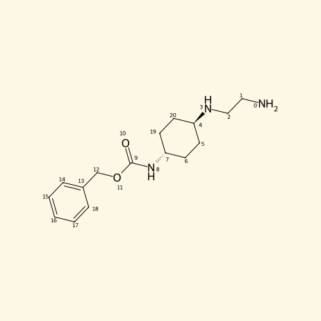 NCCN[C@H]1CC[C@H](NC(=O)OCc2ccccc2)CC1